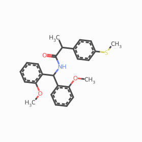 COc1ccccc1C(NC(=O)C(C)c1ccc(SC)cc1)c1ccccc1OC